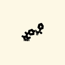 Cc1n[nH]c(C)c1C(C)c1ccc(OC(=O)N(C)c2ccccc2)cc1